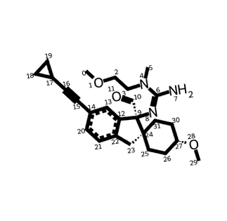 COCCN(C)/C(N)=N\[C@]1(C=O)c2cc(C#CC3CC3)ccc2C[C@]12CC[C@@H](OC)CC2